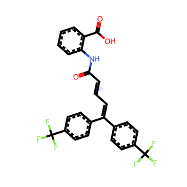 O=C(/C=C/C=C(c1ccc(C(F)(F)F)cc1)c1ccc(C(F)(F)F)cc1)Nc1ccccc1C(=O)O